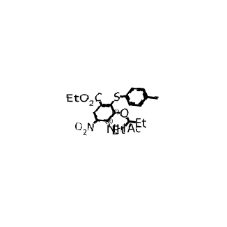 CCOC(=O)C1=C(Sc2ccc(C)cc2)[C@@H](OC(CC)CC)[C@H](NC(C)=O)C([N+](=O)[O-])C1